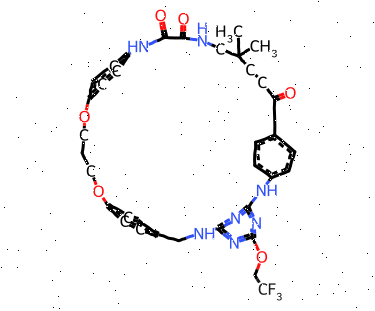 CC1(C)CCC(=O)c2ccc(cc2)Nc2nc(nc(OCC(F)(F)F)n2)NCc2ccc(cc2)OCCCOc2ccc(cc2)NC(=O)C(=O)NC1